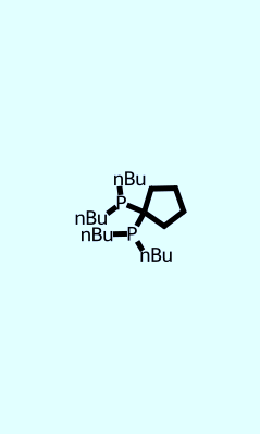 CCCCP(CCCC)C1(P(CCCC)CCCC)CCCC1